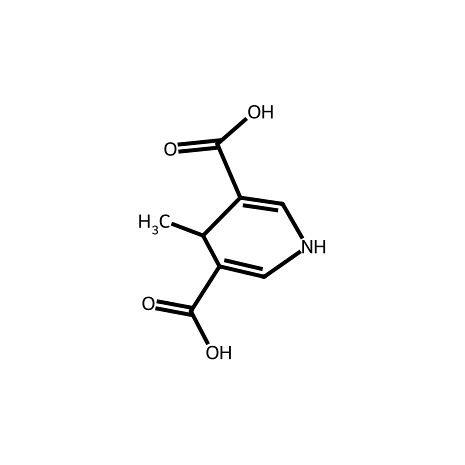 CC1C(C(=O)O)=CNC=C1C(=O)O